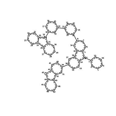 c1ccc(-n2c3ccc(-c4cccc(-c5cccc(-n6c7ccccc7c7ccccc76)c5)c4)cc3c3cc(-c4ccc5oc6ccccc6c5c4)ccc32)cc1